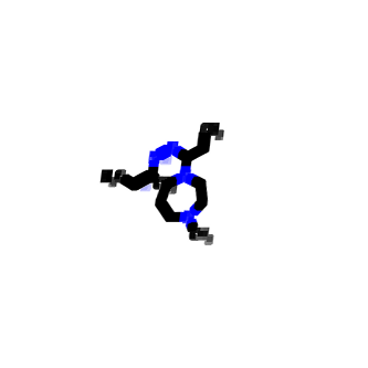 C=CC(/N=N\C(C)=C/C)N1CCCN(C)CC1